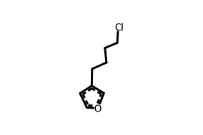 ClCCCCc1ccoc1